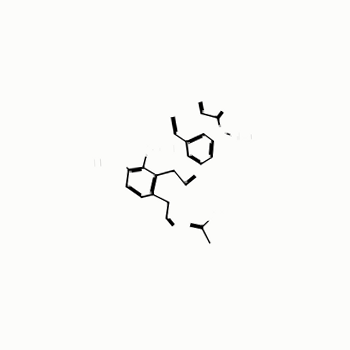 C=C(C)C(=O)O.C=CC(=O)OCCCC.C=CCc1ccc(C(=O)O)c(C(=O)O)c1CC=C.C=Cc1ccccc1